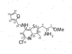 COCC(N)Cc1sc2c(NCc3ccco3)cc(Cl)nc2c1C